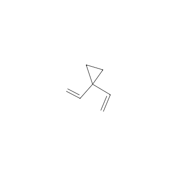 C=CC1(C=C)CC1